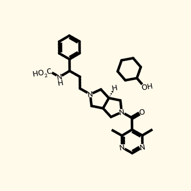 Cc1ncnc(C)c1C(=O)N1CC2CN(CCC(NC(=O)O)c3ccccc3)C[C@H]2C1.OC1CCCCC1